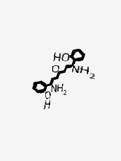 NC(=CCC(=O)CC=C(N)c1ccccc1O)c1ccccc1O